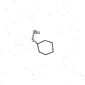 [CH2]CC(C)SC1CCCCC1